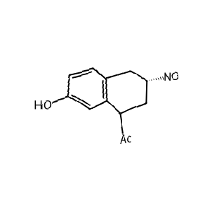 CC(=O)C1C[C@@H](N=O)Cc2ccc(O)cc21